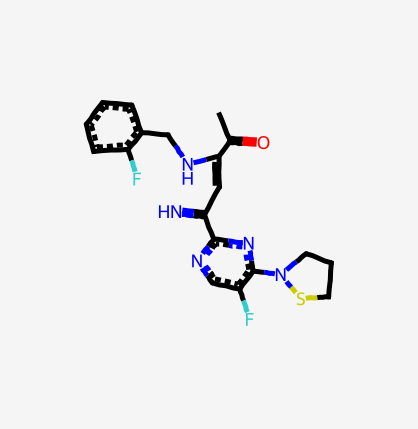 CC(=O)/C(=C/C(=N)c1ncc(F)c(N2CCCS2)n1)NCc1ccccc1F